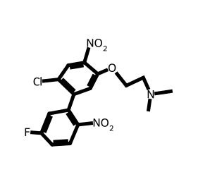 CN(C)CCOc1cc(-c2cc(F)ccc2[N+](=O)[O-])c(Cl)cc1[N+](=O)[O-]